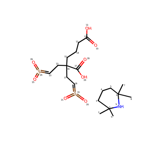 CC1(C)CCCC(C)(C)N1.O=C(O)CCCC(CC=S(=O)=O)(CC=S(=O)=O)C(=O)O